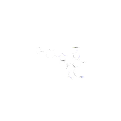 Cc1c(-c2cc(OC(C)c3ccn(C(F)(F)F)n3)c3c(C#N)cnn3c2)nnn1C1CCN(C2COC2)CC1